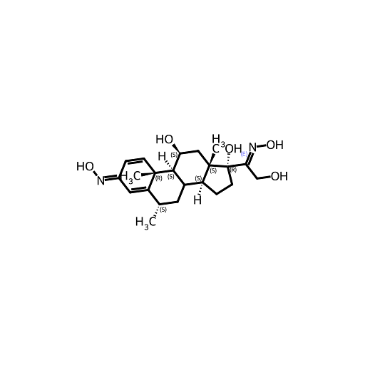 C[C@H]1CC2[C@H]([C@@H](O)C[C@@]3(C)[C@H]2CC[C@]3(O)/C(CO)=N/O)[C@@]2(C)C=CC(=NO)C=C12